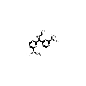 CN(C)c1ncnc(C(NCO)c2ncnc(N(C)C)n2)n1